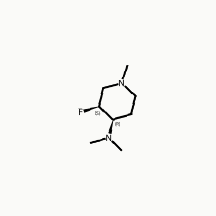 CN1CC[C@@H](N(C)C)[C@@H](F)C1